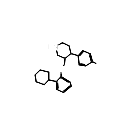 Fc1ccc(C2CCNCC2COc2ccccc2C2CCCCC2)cc1